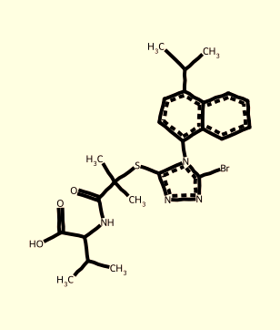 CC(C)c1ccc(-n2c(Br)nnc2SC(C)(C)C(=O)NC(C(=O)O)C(C)C)c2ccccc12